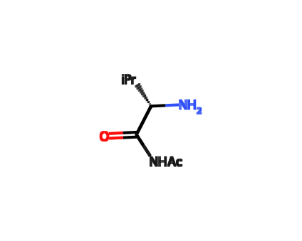 CC(=O)NC(=O)[C@@H](N)C(C)C